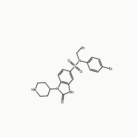 CCc1ccc(N(CC(C)C)S(=O)(=O)c2ccc3c(c2)[nH]c(=O)n3C2CCNCC2)cc1